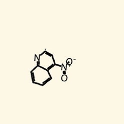 O=[N+]([O-])c1c[c]nc2ccccc12